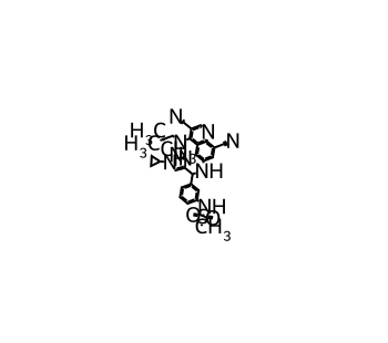 CC(C)(C)CNc1c(C#N)cnc2c(C#N)cc(NC(c3cccc(NS(C)(=O)=O)c3)c3cn(C4CC4)nn3)cc12